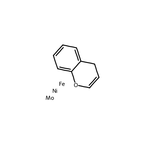 C1=COc2ccccc2C1.[Fe].[Mo].[Ni]